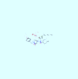 C=CC=CC=C(C)c1cc(N(C(=O)C2CCC(C)CC2)C2CCN(Cc3ccc(OC)cc3)C(=O)C2)c(OC(=O)OC)s1